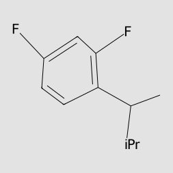 CC(C)C(C)c1ccc(F)cc1F